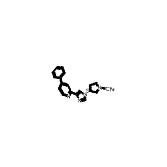 N#CN1CC[C@@H](n2cnc(-c3cc(-c4ccccc4)ccn3)c2)C1